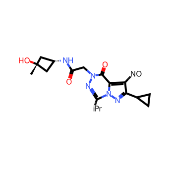 CC(C)c1nn(CC(=O)N[C@H]2C[C@@](C)(O)C2)c(=O)c2c(N=O)c(C3CC3)nn12